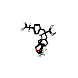 COC(=O)C(Cc1ccc(C(F)(F)C(=O)O)cc1)(Cc1ccc(C(F)(F)P(=O)(O)O)cc1)C(=O)OCc1ccccc1